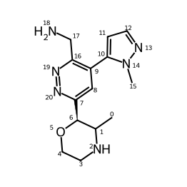 CC1NCCO[C@H]1c1cc(-c2ccnn2C)c(CN)nn1